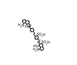 Nc1cccc2ccc(N=Nc3ccc(/C=C/c4ccc(N=Nc5c(S(=O)(=O)O)cc6cccc(N)c6c5O)cc4S(=O)(=O)O)cc3)c(O)c12